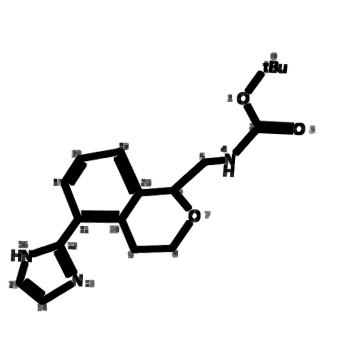 CC(C)(C)OC(=O)NCC1OCCc2c(-c3ncc[nH]3)cccc21